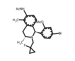 COc1cc(Br)ccc1[C@@H]1c2ccc(NC(C)=O)c(C)c2C[C@@H](C)N1CC1(F)CC1